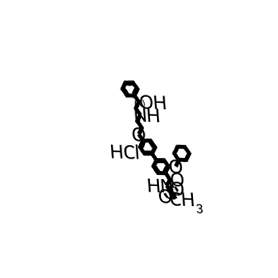 CS(=O)(=O)NC(=O)c1ccc(-c2ccc(OCCNC[C@H](O)c3ccccc3)cc2)cc1OC1CCCCC1.Cl